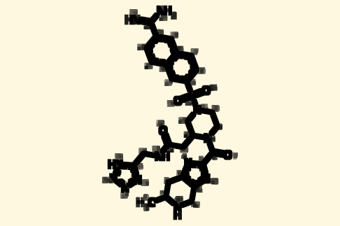 CC1Cc2nc(C(=O)N3CCN(S(=O)(=O)c4ccc5cc(C(=N)N)ccc5c4)CC3CC(=O)NCc3nnn[nH]3)sc2CN1